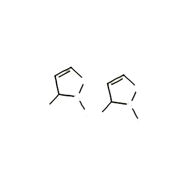 CCCCCCCCN1SC=CC1C=O.CN1SC=CC1C=O